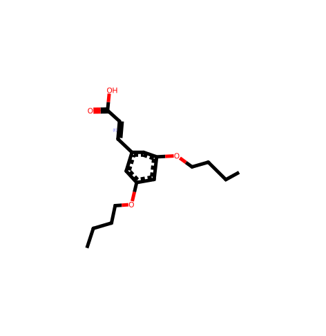 CCCCOc1cc(/C=C/C(=O)O)cc(OCCCC)c1